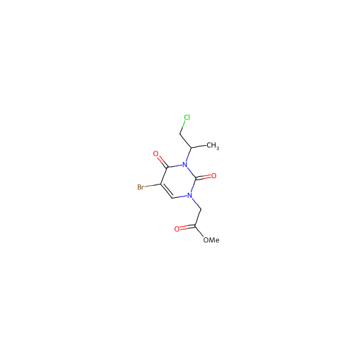 COC(=O)Cn1cc(Br)c(=O)n(C(C)CCl)c1=O